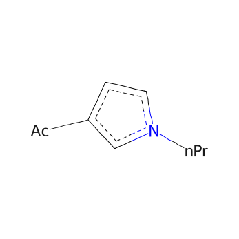 CCCn1ccc(C(C)=O)c1